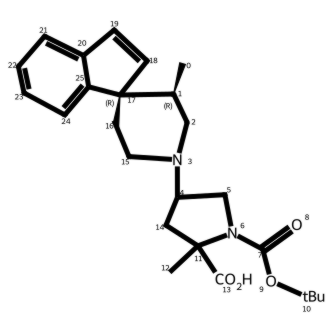 C[C@H]1CN(C2CN(C(=O)OC(C)(C)C)C(C)(C(=O)O)C2)CC[C@@]12C=Cc1ccccc12